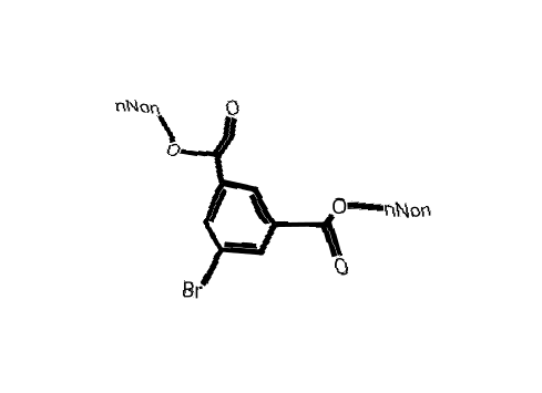 CCCCCCCCCOC(=O)c1cc(Br)cc(C(=O)OCCCCCCCCC)c1